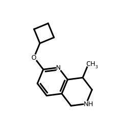 CC1CNCc2ccc(OC3CCC3)nc21